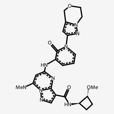 CNc1cc(Nc2cccn(-c3cc4n(n3)CCOC4)c2=O)nc2c(C(=O)N[C@@H]3CC[C@H]3OC)cnn12